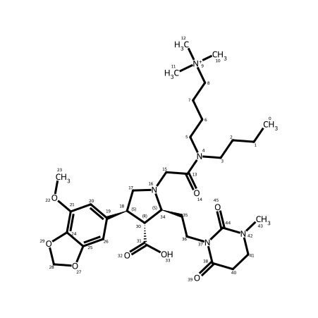 CCCCN(CCCC[N+](C)(C)C)C(=O)CN1C[C@H](c2cc(OC)c3c(c2)OCO3)[C@@H](C(=O)O)[C@@H]1CCN1C(=O)CCN(C)C1=O